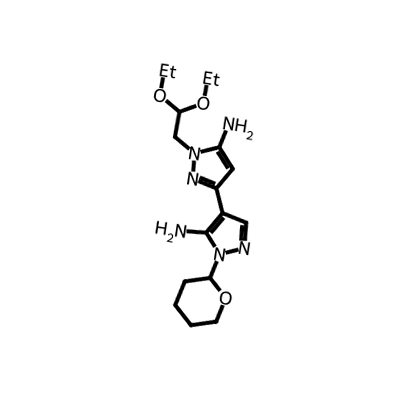 CCOC(Cn1nc(-c2cnn(C3CCCCO3)c2N)cc1N)OCC